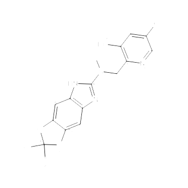 Cc1cnc(C[S+]([O-])c2nc3cc4c(cc3[nH]2)OC(F)(F)O4)c(C)c1